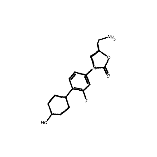 NCC1CN(c2ccc(C3CCC(O)CC3)c(F)c2)C(=O)O1